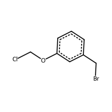 ClCOc1cccc(CBr)c1